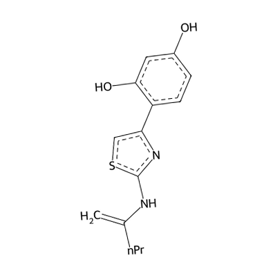 C=C(CCC)Nc1nc(-c2ccc(O)cc2O)cs1